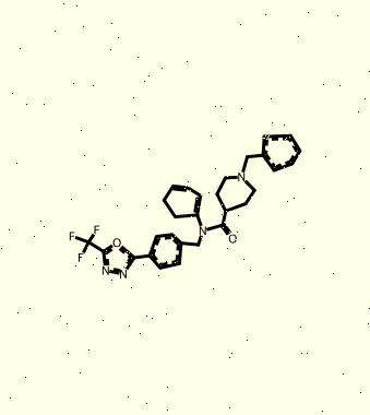 O=C(C1CCN(Cc2ccccc2)CC1)N(Cc1ccc(-c2nnc(C(F)(F)F)o2)cc1)C1=CC=CCC1